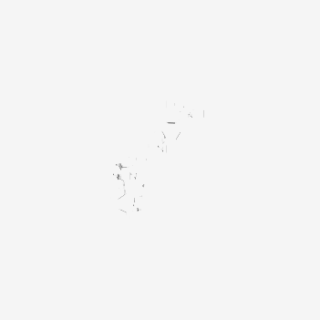 CCn1c(SCCNc2ccc(C(C)C)cc2)nnc1-c1cccnc1